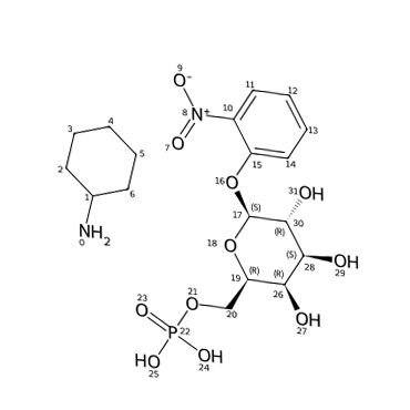 NC1CCCCC1.O=[N+]([O-])c1ccccc1O[C@@H]1O[C@H](COP(=O)(O)O)[C@H](O)[C@H](O)[C@H]1O